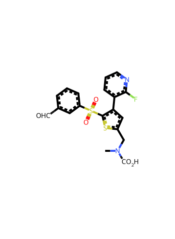 CN(Cc1cc(-c2cccnc2F)c(S(=O)(=O)c2cccc(C=O)c2)s1)C(=O)O